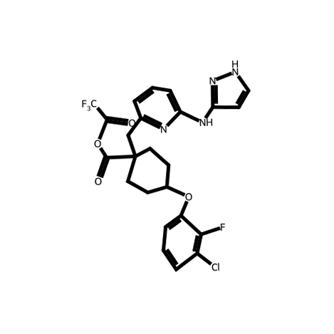 O=C(OC(=O)C1(Cc2cccc(Nc3cc[nH]n3)n2)CCC(Oc2cccc(Cl)c2F)CC1)C(F)(F)F